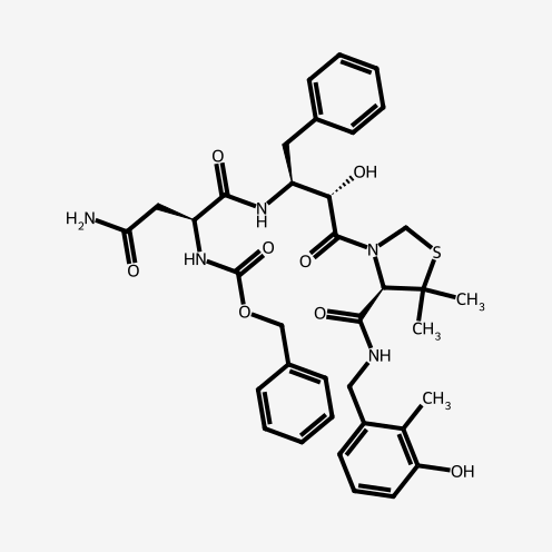 Cc1c(O)cccc1CNC(=O)[C@H]1N(C(=O)[C@@H](O)[C@H](Cc2ccccc2)NC(=O)[C@H](CC(N)=O)NC(=O)OCc2ccccc2)CSC1(C)C